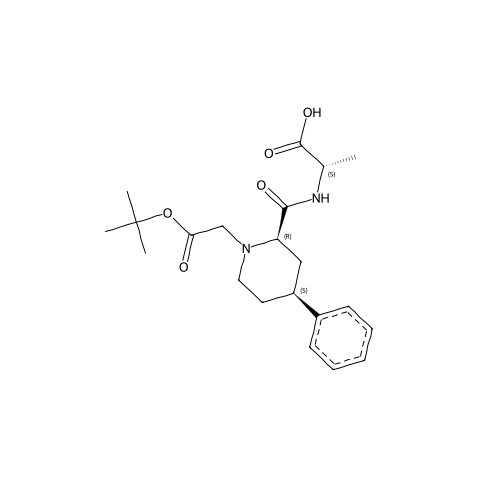 C[C@H](NC(=O)[C@H]1C[C@@H](c2ccccc2)CCN1CC(=O)OC(C)(C)C)C(=O)O